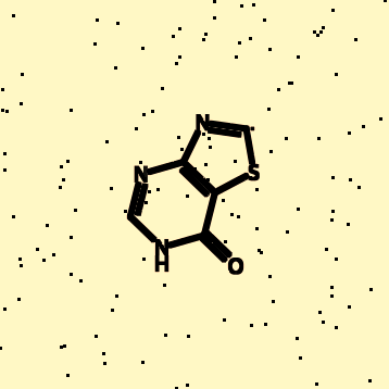 O=c1[nH]cnc2n[c]sc12